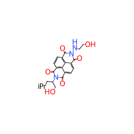 CC(C)CC(CO)N1C(=O)c2ccc3c4c(ccc(c24)C1=O)C(=O)N(NCCO)C3=O